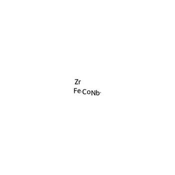 [Co].[Fe].[Nb].[Zr]